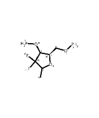 CC1O[C@H](COP)C(OP)C1(F)F